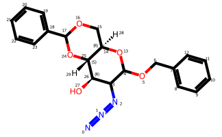 [N-]=[N+]=NC1C(OCc2ccccc2)O[C@@H]2COC(c3ccccc3)O[C@H]2[C@@H]1O